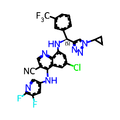 N#Cc1cnc2c(N[C@@H](c3cccc(C(F)(F)F)c3)c3cn(C4CC4)nn3)cc(Cl)cc2c1Nc1cnc(F)c(F)c1